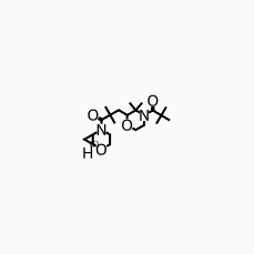 CC(C)(C)C(=O)N1CCOC(CC(C)(C)C(=O)N2CCO[C@H]3CC32)C1(C)C